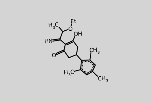 CCOC(C)C(=N)C1=C(O)CC(c2c(C)cc(C)cc2C)CC1=O